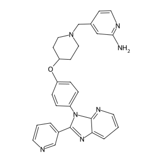 Nc1cc(CN2CCC(Oc3ccc(-n4c(-c5cccnc5)nc5cccnc54)cc3)CC2)ccn1